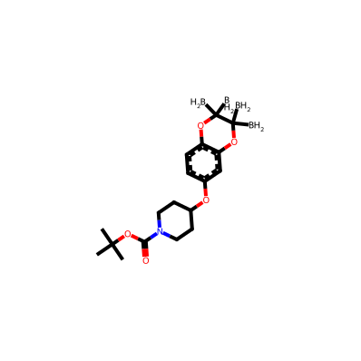 BC1(B)Oc2ccc(OC3CCN(C(=O)OC(C)(C)C)CC3)cc2OC1(B)B